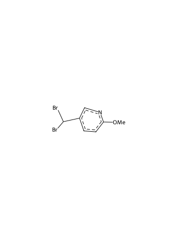 COc1ccc(C(Br)Br)cn1